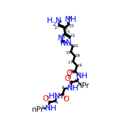 CCCNC(=O)CNC(=O)CNC(=O)[C@@H](NC(=O)CCCCCn1cc(/C(C=N)=C/N)nn1)C(C)C